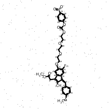 COC(=O)CC1=C(C)C(=Cc2ccc(SC)cc2)c2cc(F)c(OCCOCCOCCOC(=O)Oc3ccc([N+](=O)[O-])cc3)cc21